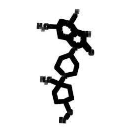 CCOC1CCC(C)(N2CCC(n3c(=O)[nH]c4c(F)cc(C)cc43)CC2)CC1